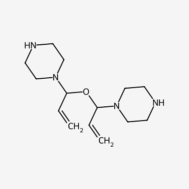 C=CC(OC(C=C)N1CCNCC1)N1CCNCC1